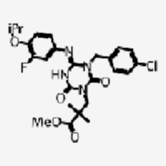 COC(=O)C(C)(C)Cn1c(=O)[nH]/c(=N\c2ccc(OC(C)C)c(F)c2)n(Cc2ccc(Cl)cc2)c1=O